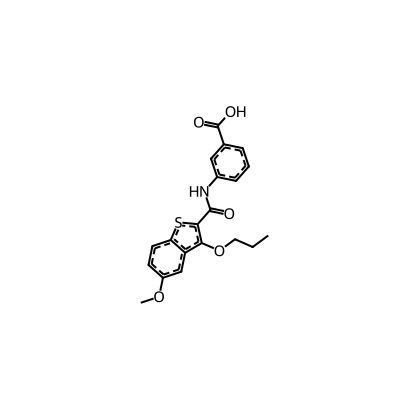 CCCOc1c(C(=O)Nc2cccc(C(=O)O)c2)sc2ccc(OC)cc12